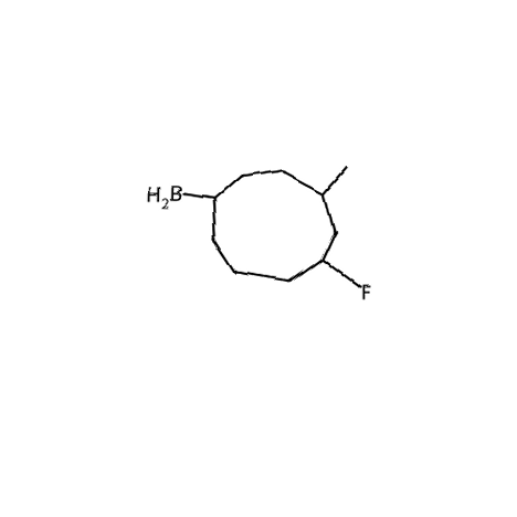 BC1CCCC(F)CC(C)CC1